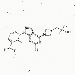 CC1C(C(F)F)=CC=CC1n1ncc2c(N3CC(CC(C)(C)O)C3)nc(Cl)nc21